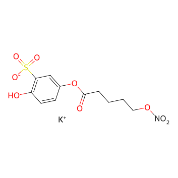 O=C(CCCCO[N+](=O)[O-])Oc1ccc(O)c(S(=O)(=O)[O-])c1.[K+]